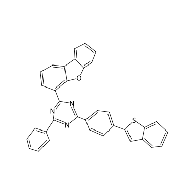 c1ccc(-c2nc(-c3ccc(-c4cc5ccccc5s4)cc3)nc(-c3cccc4c3oc3ccccc34)n2)cc1